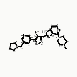 CN1CCN(c2nccc3[nH]c(-c4n[nH]c(-c5cncc(CN6CCCC6)c5)c4F)nc23)CC1